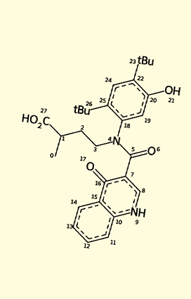 CC(CCN(C(=O)c1c[nH]c2ccccc2c1=O)c1cc(O)c(C(C)(C)C)cc1C(C)(C)C)C(=O)O